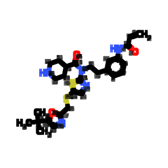 C=CC(=O)Nc1cccc(CCN(C(=O)C2CCNCC2)c2ncc(SCc3ncc(C(C)(C)C)o3)s2)c1